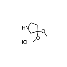 COC1(OC)CCNC1.Cl